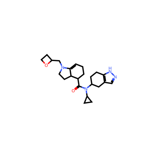 O=C(C1CCC=C2C1CCN2CC1CCO1)N(C1CC1)C1CCc2[nH]ncc2C1